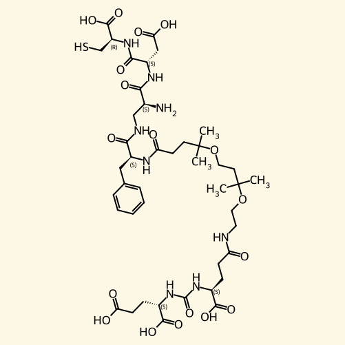 CC(C)(CCOC(C)(C)CCC(=O)N[C@@H](Cc1ccccc1)C(=O)NC[C@H](N)C(=O)N[C@@H](CC(=O)O)C(=O)N[C@@H](CS)C(=O)O)OCCNC(=O)CC[C@H](NC(=O)N[C@@H](CCC(=O)O)C(=O)O)C(=O)O